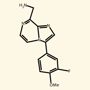 COc1ccc(-c2cnc3c(CN)nccn23)cc1F